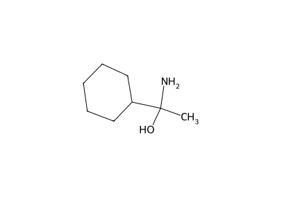 CC(N)(O)C1CCCCC1